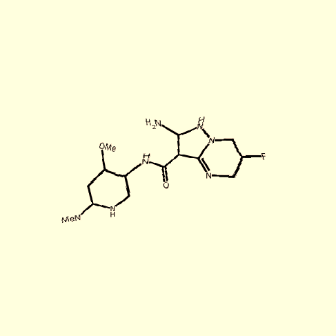 CNC1CC(OC)C(NC(=O)C2C3=NCC(F)CN3NC2N)CN1